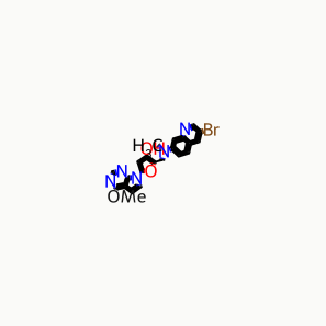 COc1ncnc2c1ccn2[C@H]1C[C@H](O)[C@@H](CN(C)c2ccc3cc(Br)cnc3c2)O1